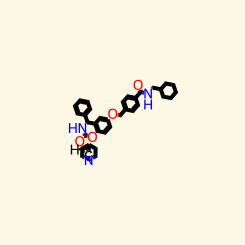 O=C(NC(c1ccccc1)c1cccc(OCc2ccc(C(=O)NCC3CCCCC3)cc2)c1)O[C@H]1CN2CCC1CC2